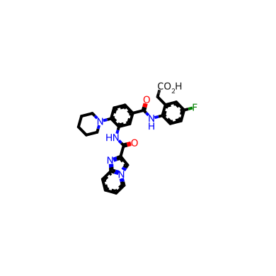 O=C(O)Cc1cc(F)ccc1NC(=O)c1ccc(N2CCCCC2)c(NC(=O)c2cn3ccccc3n2)c1